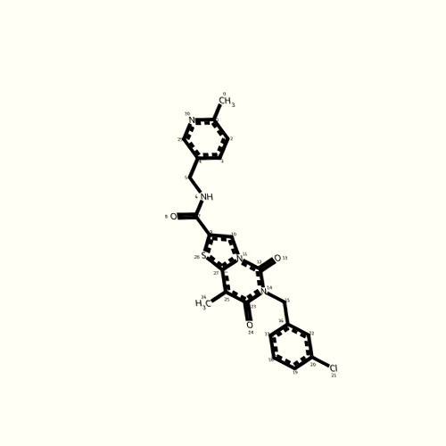 Cc1ccc(CNC(=O)c2cn3c(=O)n(Cc4cccc(Cl)c4)c(=O)c(C)c3s2)cn1